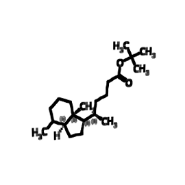 CC1CCC[C@]2(C)[C@@H]([C@H](C)CCCC(=O)OC(C)(C)C)CC[C@@H]12